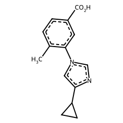 Cc1ccc(C(=O)O)cc1-n1cnc(C2CC2)c1